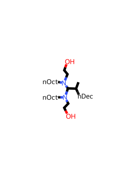 CCCCCCCCCCC(C)C(N(CCO)CCCCCCCC)N(CCO)CCCCCCCC